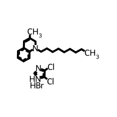 Br.CCCCCCCCCN1CC(C)=Cc2ccccc21.Clc1nc[nH]c1Cl